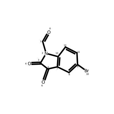 O=CN1C(=O)C(=O)c2cc(Br)ccc21